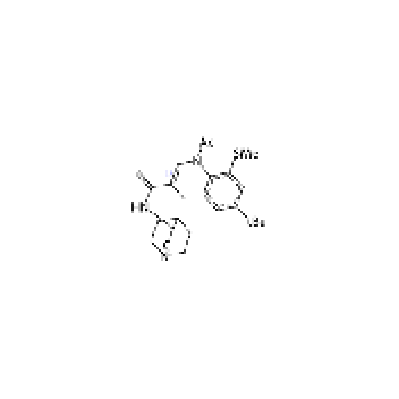 C=C(NC1CN2CCC1CC2)/C(C)=C/N(C(C)=O)c1ccc(C(C)(C)C)cc1SC